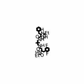 CCC(=O)NC(CC(=O)NCC(C)(C)CNC(=O)C(O)C(Cc1ccccc1)NC(=O)CC)Cc1cc(F)ccc1F